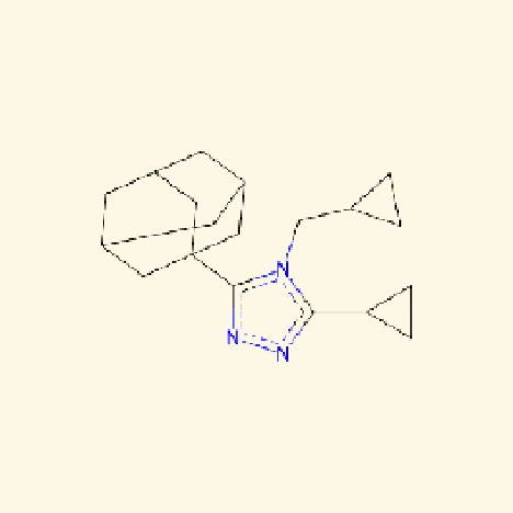 C1CC1Cn1c(C2CC2)nnc1C12CC3CC(CC(C3)C1)C2